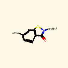 CCCCCn1sc2cc(OC)ccc2c1=O